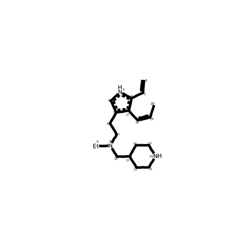 C=Cc1[nH]cc(CCN(CC)CC2CCNCC2)c1/C=C\C